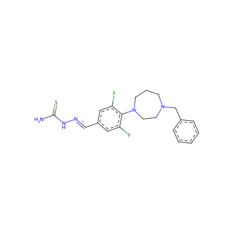 NC(=S)N/N=C/c1cc(F)c(N2CCCN(Cc3ccccc3)CC2)c(F)c1